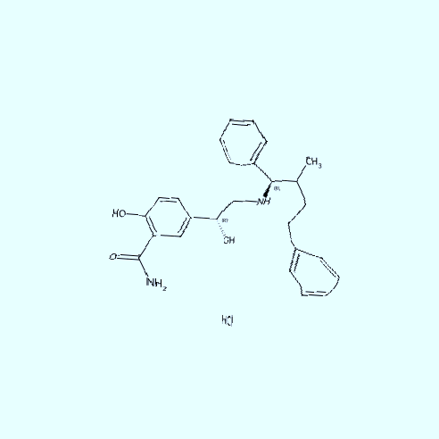 CC(CCc1ccccc1)[C@@H](NC[C@H](O)c1ccc(O)c(C(N)=O)c1)c1ccccc1.Cl